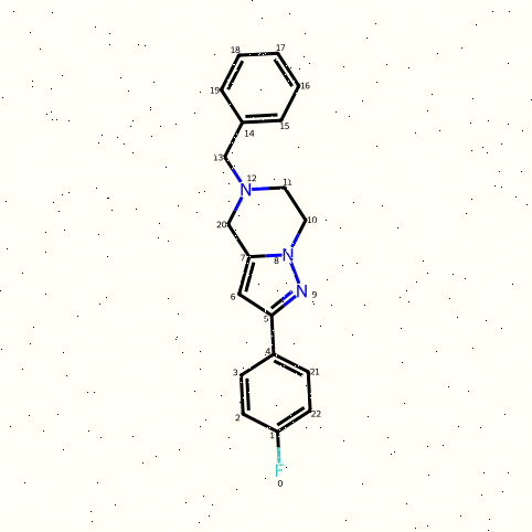 Fc1ccc(-c2cc3n(n2)CCN(Cc2ccccc2)C3)cc1